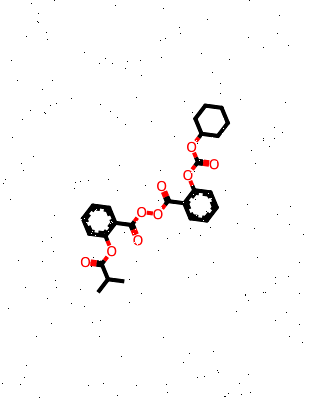 CC(C)C(=O)Oc1ccccc1C(=O)OOC(=O)c1ccccc1OC(=O)OC1CCCCC1